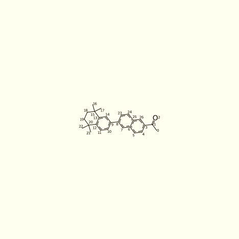 CC(=O)c1ccc2cc(-c3ccc4c(c3)C(C)(C)CCC4(C)C)ccc2c1